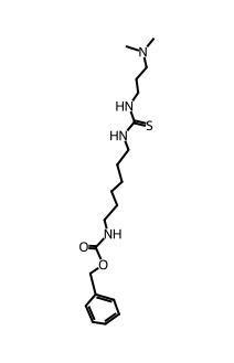 CN(C)CCCNC(=S)NCCCCCCNC(=O)OCc1ccccc1